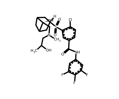 CC(O)CN(C)C[C@]1(O)C2CC1C[C@@H](S(=O)(=O)c1cc(C(=O)Nc3cc(F)c(F)c(F)c3)ccc1Cl)C2